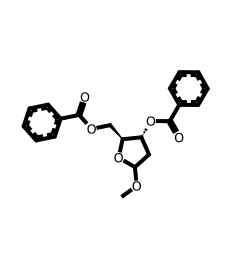 COC1C[C@@H](OC(=O)c2ccccc2)[C@H](COC(=O)c2ccccc2)O1